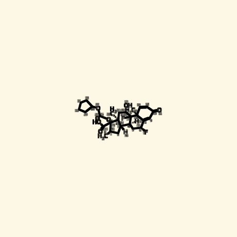 C[C@@H]1C[C@H]2[C@@H]3C[C@H](F)C4=CC(=O)C=C[C@]4(C)C3(F)[C@@H](O)C[C@]2(C)[C@]1(OC(=O)OC1CCCC1)C(=O)O